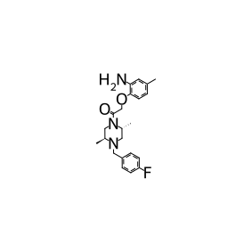 Cc1ccc(OCC(=O)N2C[C@H](C)N(Cc3ccc(F)cc3)C[C@H]2C)c(N)c1